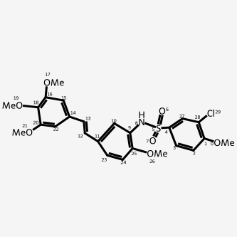 COc1ccc(S(=O)(=O)Nc2cc(C=Cc3cc(OC)c(OC)c(OC)c3)ccc2OC)cc1Cl